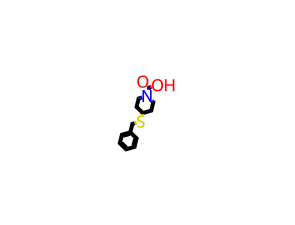 O=C(O)N1CCC(SCc2ccccc2)CC1